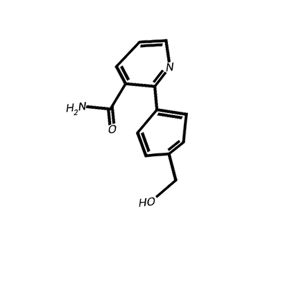 NC(=O)c1cccnc1-c1ccc(CO)cc1